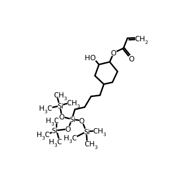 C=CC(=O)OC1CCC(CCCC[Si](O[Si](C)(C)C)(O[Si](C)(C)C)O[Si](C)(C)C)CC1O